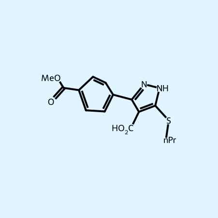 CCCSc1[nH]nc(-c2ccc(C(=O)OC)cc2)c1C(=O)O